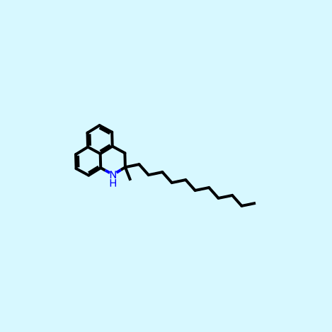 CCCCCCCCCCCC1(C)Cc2cccc3cccc(c23)N1